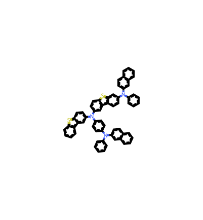 c1ccc(N(c2ccc(N(c3ccc4sc5ccccc5c4c3)c3ccc4sc5cc(N(c6ccccc6)c6ccc7ccccc7c6)ccc5c4c3)cc2)c2ccc3ccccc3c2)cc1